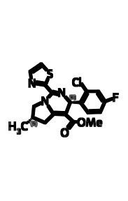 COC(=O)C1=C2C[C@H](C)CN2C(c2nccs2)=N[C@H]1c1ccc(F)cc1Cl